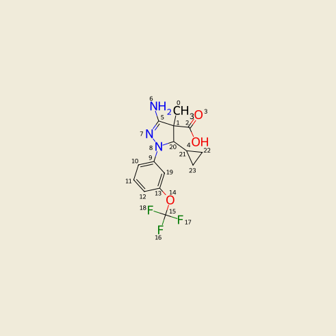 CC1(C(=O)O)C(N)=NN(c2cccc(OC(F)(F)F)c2)C1C1CC1